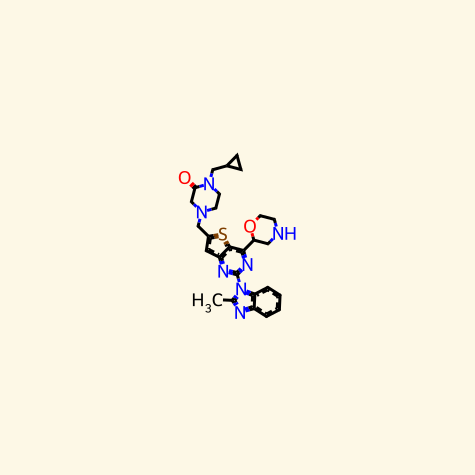 Cc1nc2ccccc2n1-c1nc(C2CNCCO2)c2sc(CN3CCN(CC4CC4)C(=O)C3)cc2n1